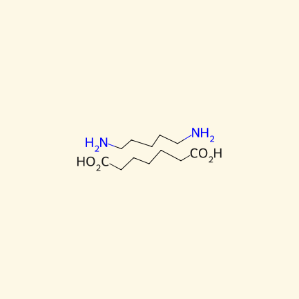 NCCCCCN.O=C(O)CCCCCC(=O)O